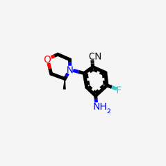 C[C@H]1COCCN1c1cc(N)c(F)cc1C#N